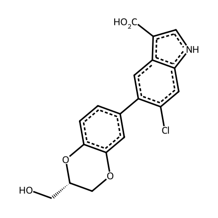 O=C(O)c1c[nH]c2cc(Cl)c(-c3ccc4c(c3)OC[C@H](CO)O4)cc12